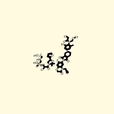 C#CCN1C(=O)COc2cc(F)c(N3C(=O)C4=C(CCCC4)C3=O)cc21.CC1(C)OC(c2ccco2)CN1C(=O)C(Cl)Cl.CCOCN(C(=O)CCl)c1c(C)cccc1CC.O=C(O)CNCP(=O)(O)O